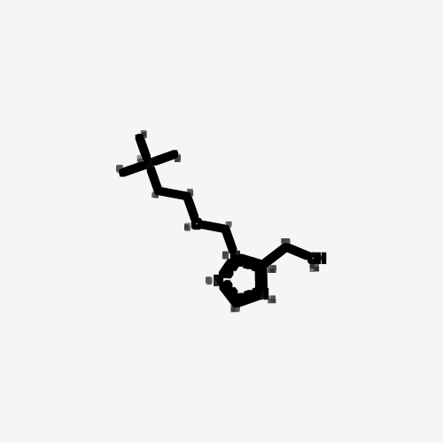 C[Si](C)(C)CCOCn1ncnc1CO